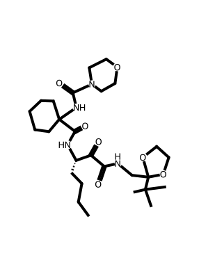 CCCC[C@H](NC(=O)C1(NC(=O)N2CCOCC2)CCCCC1)C(=O)C(=O)NCC1(C(C)(C)C)OCCO1